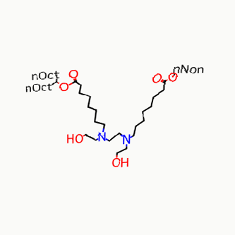 CCCCCCCCCOC(=O)CCCCCCCN(CCO)CCN(CCO)CCCCCCCC(=O)OC(CCCCCCCC)CCCCCCCC